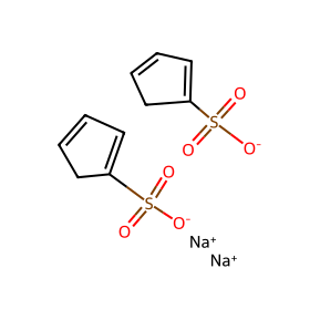 O=S(=O)([O-])C1=CC=CC1.O=S(=O)([O-])C1=CC=CC1.[Na+].[Na+]